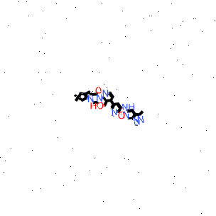 Cc1nn(C)c2cnc(Nc3cc(-c4ccnc(N5CCn6c(cc7c6CC(C)(C)C7)C5=O)c4CO)cn(C)c3=O)cc12